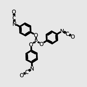 O=C=Nc1ccc(OP(Oc2ccc(N=C=O)cc2)Oc2ccc(N=C=O)cc2)cc1